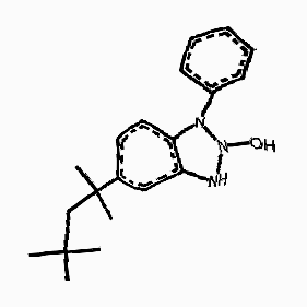 CC(C)(C)CC(C)(C)c1ccc2c(c1)NN(O)N2c1c[c]ccc1